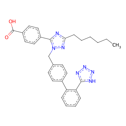 CCCCCCc1nc(-c2ccc(C(=O)O)cc2)n(Cc2ccc(-c3ccccc3-c3nnn[nH]3)cc2)n1